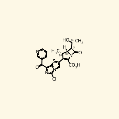 C[C@@H](O)[C@H]1C(=O)N2C(C(=O)O)=C(c3cn4c(Cl)nc(C(=O)c5cccnc5)c4s3)[C@H](C)[C@H]12